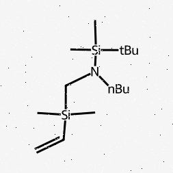 C=C[Si](C)(C)CN(CCCC)[Si](C)(C)C(C)(C)C